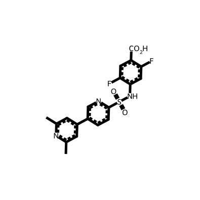 Cc1cc(-c2ccc(S(=O)(=O)Nc3cc(F)c(C(=O)O)cc3F)nc2)cc(C)n1